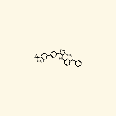 Cc1noc(-c2ccc(-c3ccc(C4(C(=O)O)CC4)cc3)cc2)c1Nc1cccc(Oc2ccccc2)n1